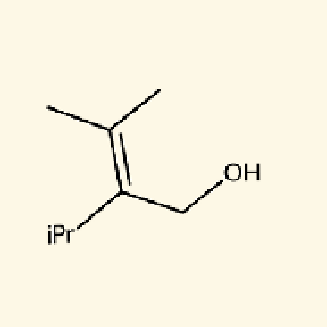 CC(C)=C(CO)C(C)C